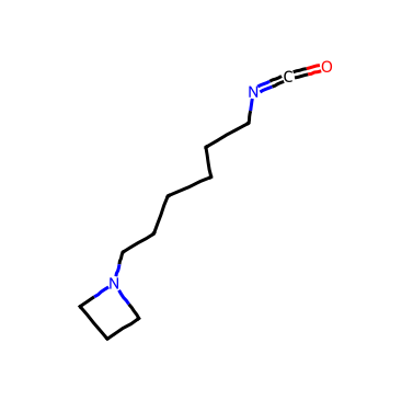 O=C=NCCCCCCN1CCC1